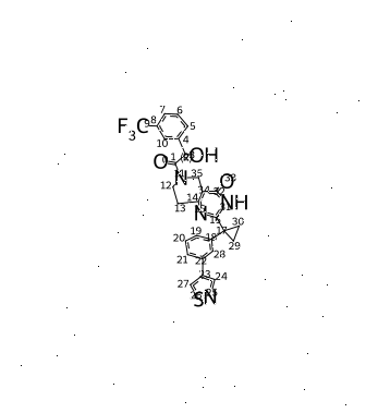 O=C([C@H](O)c1cccc(C(F)(F)F)c1)N1CCc2nc(C3(c4cccc(-c5cnsc5)c4)CC3)[nH]c(=O)c2C1